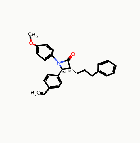 C=Cc1ccc([C@@H]2[C@@H](CCCc3ccccc3)C(=O)N2c2ccc(OC)cc2)cc1